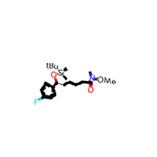 CON(C)C(=O)CCCC[C@@H](O[Si](C)(C)C(C)(C)C)c1ccc(F)cc1